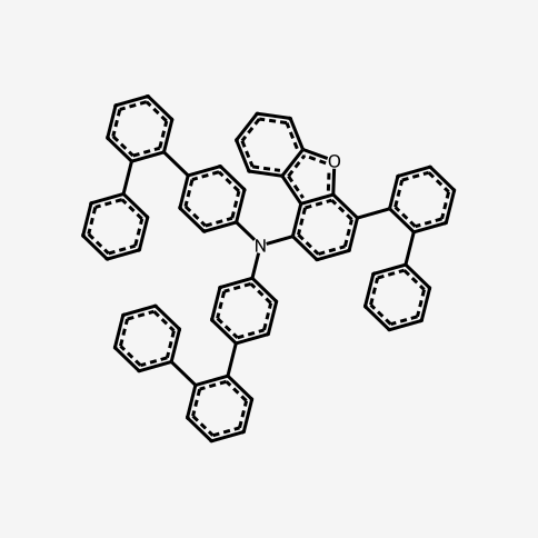 c1ccc(-c2ccccc2-c2ccc(N(c3ccc(-c4ccccc4-c4ccccc4)cc3)c3ccc(-c4ccccc4-c4ccccc4)c4oc5ccccc5c34)cc2)cc1